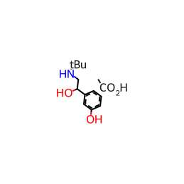 CC(=O)O.CC(C)(C)NCC(O)c1cccc(O)c1